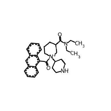 CCN(CC)C(=O)C1CCC[N+](C(=O)c2c3ccccc3cc3ccccc23)(C2CCNCC2)C1